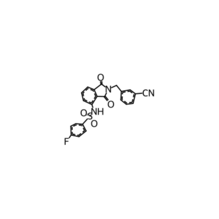 N#Cc1cccc(CN2C(=O)c3cccc(NS(=O)(=O)c4ccc(F)cc4)c3C2=O)c1